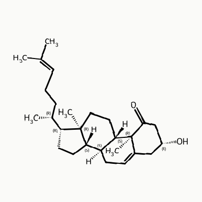 CC(C)=CCC[C@@H](C)[C@H]1CC[C@H]2[C@@H]3CC=C4C[C@@H](O)CC(=O)[C@]4(C)[C@H]3CC[C@]12C